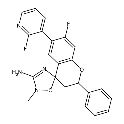 CN1OC2(CC(c3ccccc3)Oc3cc(F)c(-c4cccnc4F)cc32)N=C1N